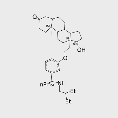 CCC[C@H](NCC(CC)CC)c1cccc(OCC[C@]23CCC4C(CCC5CC(=O)CC[C@@]54C)C2CC[C@@H]3O)c1